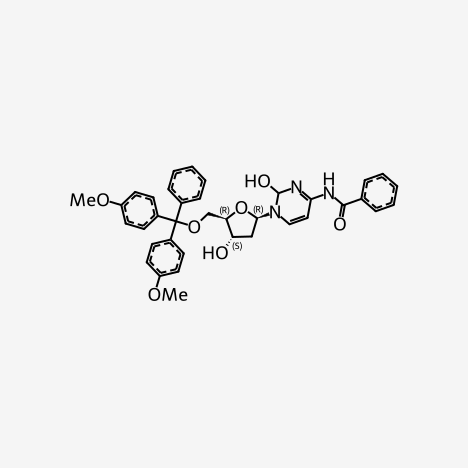 COc1ccc(C(OC[C@H]2O[C@@H](N3C=CC(NC(=O)c4ccccc4)=NC3O)C[C@@H]2O)(c2ccccc2)c2ccc(OC)cc2)cc1